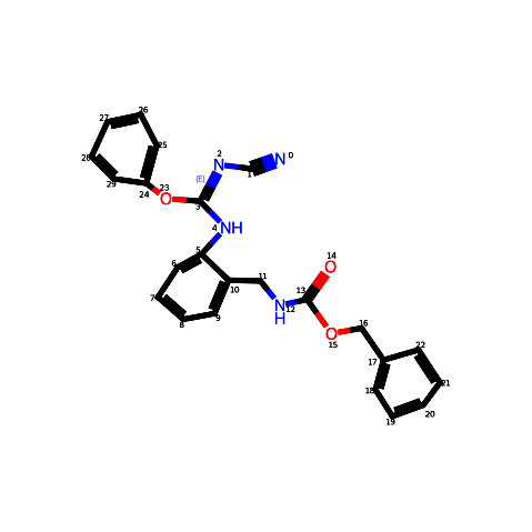 N#C/N=C(\Nc1ccccc1CNC(=O)OCc1ccccc1)Oc1ccccc1